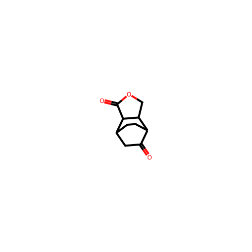 O=C1CC2CCC1C1COC(=O)C21